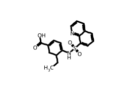 CCC1CC(C(=O)O)=CC=C1NS(=O)(=O)c1cccc2cccnc12